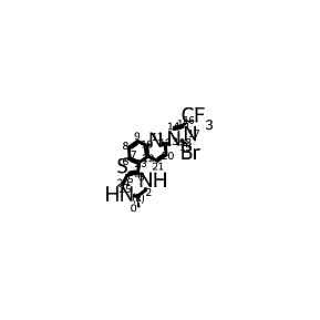 C[C@@H]1CNc2c(sc3ccc4nc(-n5cc(C(F)(F)F)nc5Br)ccc4c23)CN1